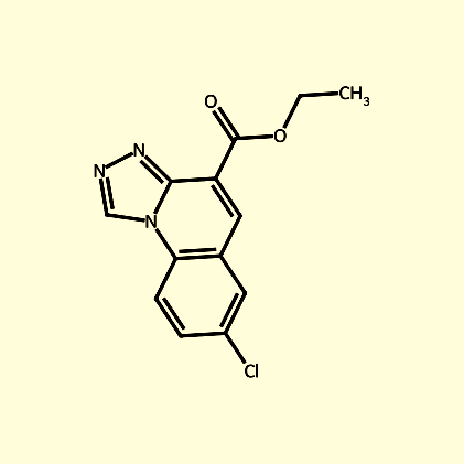 CCOC(=O)c1cc2cc(Cl)ccc2n2cnnc12